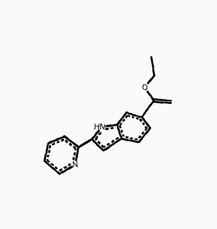 C=C(OCC)c1ccc2cc(-c3ccccn3)[nH]c2c1